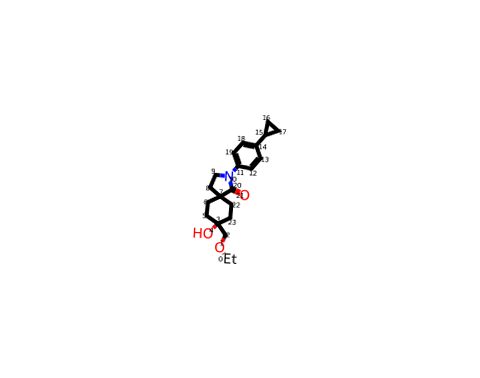 CCOCC1(O)CCC2(CCN(c3ccc(C4CC4)cc3)C2=O)CC1